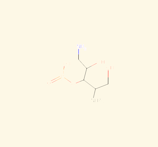 CC(=O)NC(CO)C(O[PH](=O)O)C(O)CN